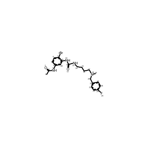 CC(=O)Nc1ccc(Br)c(NC(=O)NCCCCN(C)Cc2ccc(F)cc2)c1